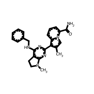 Cc1cn2c(C(N)=O)cccc2c1-c1nc(NCc2ccccc2)c2c(n1)N(C)CC2